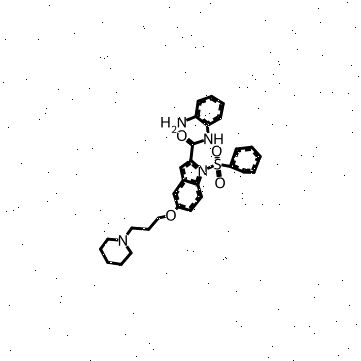 Nc1ccccc1NC(=O)c1cc2cc(OCCCN3CCCCC3)ccc2n1S(=O)(=O)c1ccccc1